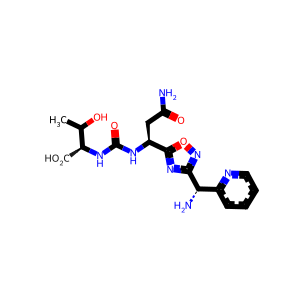 CC(O)[C@@H](NC(=O)N[C@@H](CC(N)=O)c1nc([C@@H](N)c2ccccn2)no1)C(=O)O